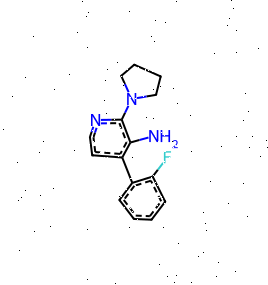 Nc1c(-c2ccccc2F)ccnc1N1CCCC1